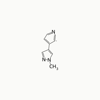 Cn1cc(-c2[c]cncc2)cn1